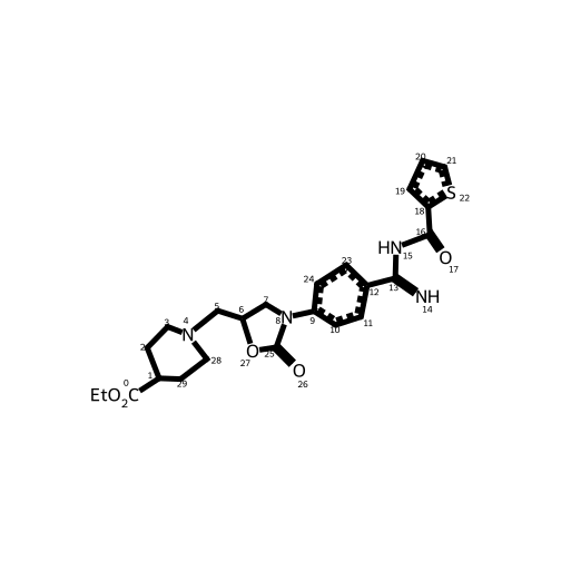 CCOC(=O)C1CCN(CC2CN(c3ccc(C(=N)NC(=O)c4cccs4)cc3)C(=O)O2)CC1